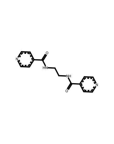 O=C(NCCNC(=O)c1ccncc1)c1ccncc1